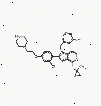 CC1(Oc2nccc3c2nc(-c2ccc(OCCN4CCNCC4)cc2Cl)n3Cc2cc(Cl)ccn2)CC1